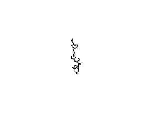 CC1(C)CC2CC(C)(CN2C(=O)C2=CCC3C(=C2)C=CN3CCc2nc(C3CC3)no2)C1